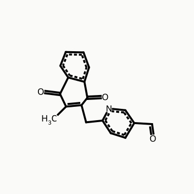 CC1=C(Cc2ccc(C=O)cn2)C(=O)c2ccccc2C1=O